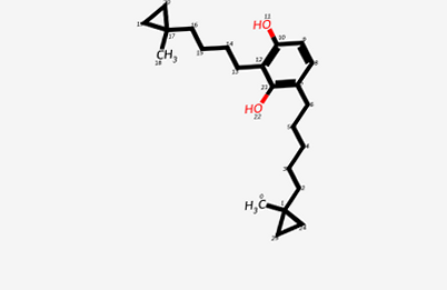 CC1(CCCCCc2ccc(O)c(CCCCC3(C)CC3)c2O)CC1